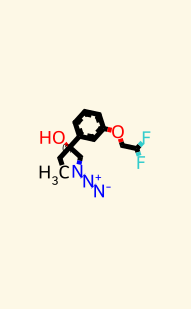 CC[C@@](O)(CN=[N+]=[N-])c1cccc(OCC(F)F)c1